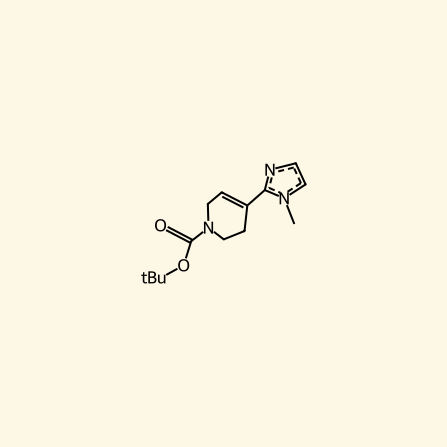 Cn1ccnc1C1=CCN(C(=O)OC(C)(C)C)CC1